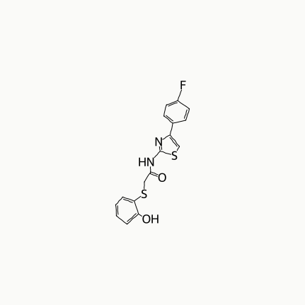 O=C(CSc1ccccc1O)Nc1nc(-c2ccc(F)cc2)cs1